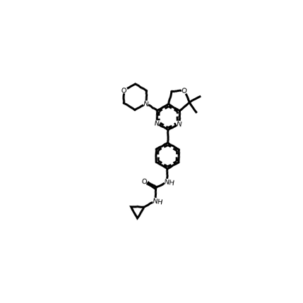 CC1(C)OCc2c(N3CCOCC3)nc(-c3ccc(NC(=O)NC4CC4)cc3)nc21